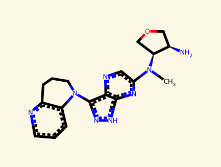 CN(c1cnc2c(N3CCCc4ncccc43)n[nH]c2n1)[C@H]1COC[C@H]1N